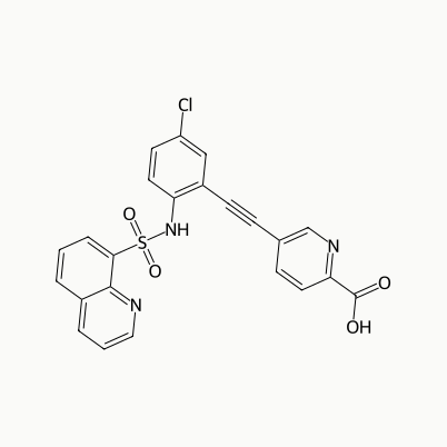 O=C(O)c1ccc(C#Cc2cc(Cl)ccc2NS(=O)(=O)c2cccc3cccnc23)cn1